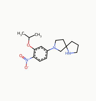 CC(C)Oc1cc(N2CCC3(CCCN3)C2)ccc1[N+](=O)[O-]